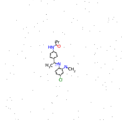 C=Nc1cc(Cl)ccc1/N=C(\C)c1ccc(NC(=O)C(C)C)cc1